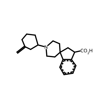 C=C1CCCC(N2CCC3(CC2)CC(C(=O)O)c2ccccc23)C1